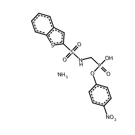 N.O=[N+]([O-])c1ccc(OP(=O)(O)CNS(=O)(=O)c2cc3ccccc3s2)cc1